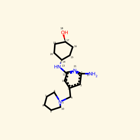 Nc1cc(CN2CCCCC2)cc(N[C@H]2CC[C@H](O)CC2)n1